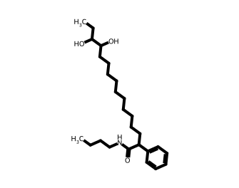 CCCCNC(=O)C(CCCCCCCCCCC(O)C(O)CC)c1ccccc1